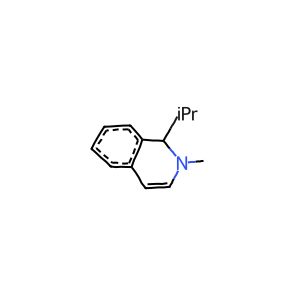 CC(C)C1c2ccccc2C=CN1C